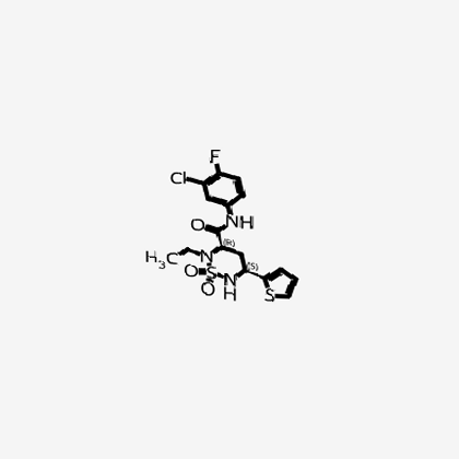 CCN1[C@@H](C(=O)Nc2ccc(F)c(Cl)c2)C[C@@H](c2cccs2)NS1(=O)=O